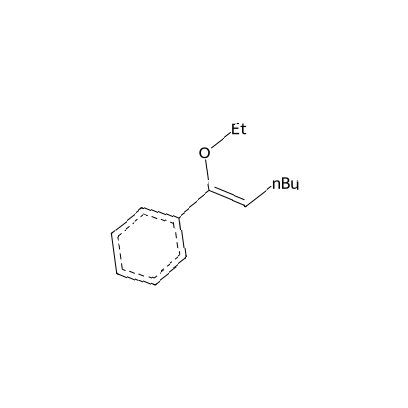 CCCC/C=C(\OCC)c1ccccc1